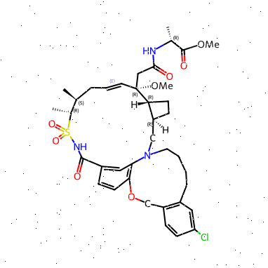 COC(=O)[C@@H](C)NC(=O)C[C@]1(OC)/C=C/C[C@H](C)[C@@H](C)S(=O)(=O)NC(=O)c2ccc3c(c2)N(CCCCc2cc(Cl)ccc2CO3)C[C@@H]2CC[C@H]21